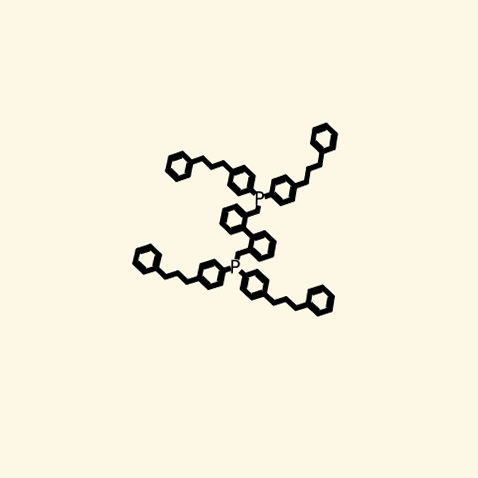 c1ccc(CCCc2ccc(P(Cc3ccccc3-c3ccccc3CP(c3ccc(CCCc4ccccc4)cc3)c3ccc(CCCc4ccccc4)cc3)c3ccc(CCCc4ccccc4)cc3)cc2)cc1